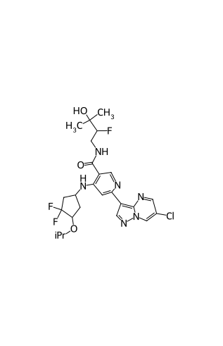 CC(C)OC1CC(Nc2cc(-c3cnn4cc(Cl)cnc34)ncc2C(=O)NCC(F)C(C)(C)O)CC1(F)F